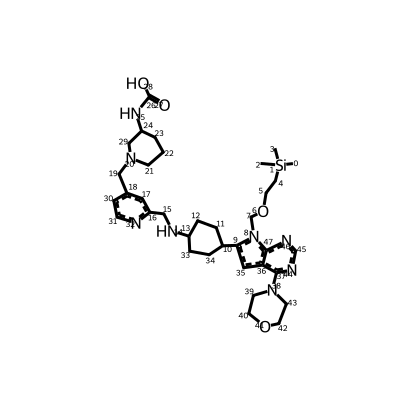 C[Si](C)(C)CCOCn1c(C2CCC(NCc3cc(CN4CCCC(NC(=O)O)C4)ccn3)CC2)cc2c(N3CCOCC3)ncnc21